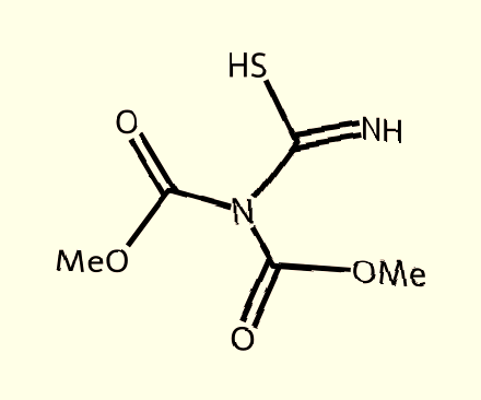 COC(=O)N(C(=N)S)C(=O)OC